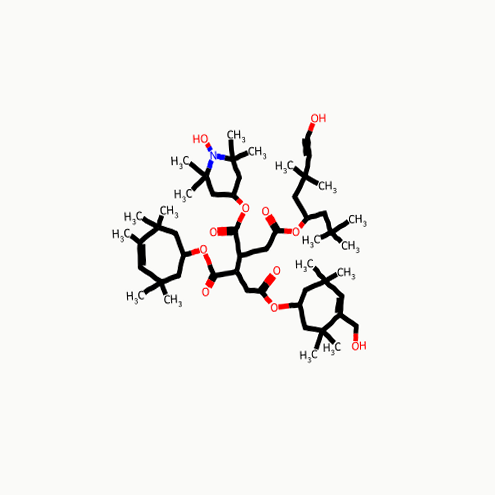 CC1=CC(C)(C)CC(OC(=O)C(CC(=O)OC2CC(C)(C)C=C(CO)C(C)(C)C2)C(CC(=O)OC(CC(C)(C)C)CC(C)(C)/C=C/O)C(=O)OC2CC(C)(C)N(O)C(C)(C)C2)CC1(C)C